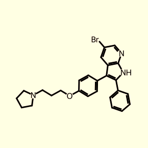 Brc1cnc2[nH]c(-c3ccccc3)c(-c3ccc(OCCCN4CCCC4)cc3)c2c1